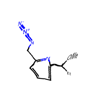 CCC(OC)c1cccc(CN=[N+]=[N-])n1